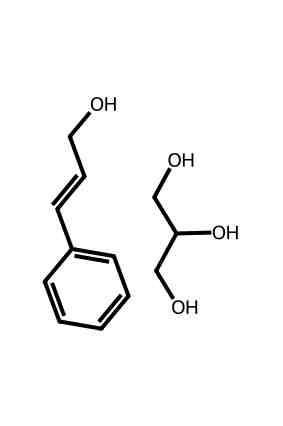 OCC(O)CO.OCC=Cc1ccccc1